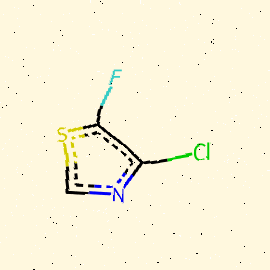 Fc1scnc1Cl